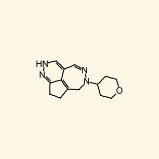 C1=NN(C2CCOCC2)CC2=C3C1=CNN=C3CC2